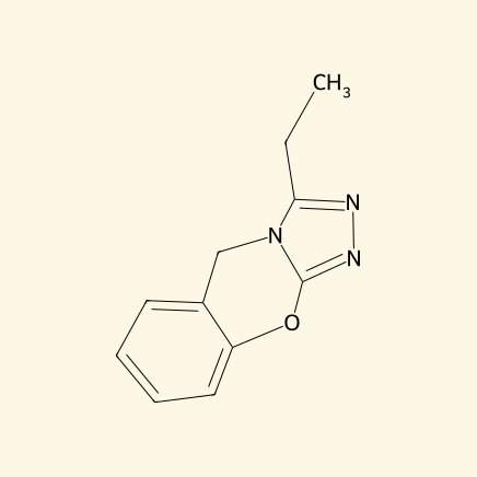 CCc1nnc2n1Cc1ccccc1O2